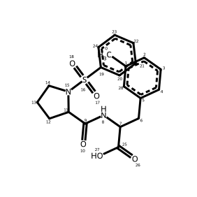 Cc1cccc(CC(NC(=O)C2CCCN2S(=O)(=O)c2ccccc2)C(=O)O)c1